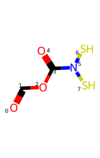 O=COC(=O)N(S)S